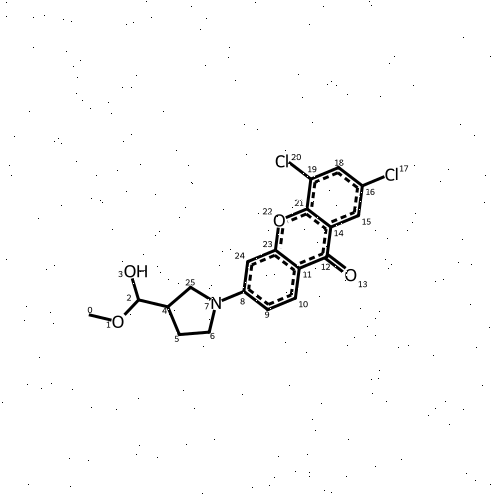 COC(O)C1CCN(c2ccc3c(=O)c4cc(Cl)cc(Cl)c4oc3c2)C1